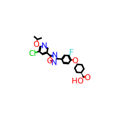 CC(C)Oc1ncc(-c2nc(-c3ccc(O[C@H]4CC[C@H](C(=O)O)CC4)c(F)c3)no2)cc1Cl